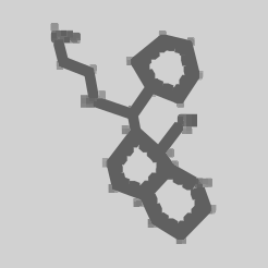 COCCNC(c1ccccc1)c1ccc2cccnc2c1O